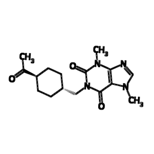 CC(=O)[C@H]1CC[C@H](Cn2c(=O)c3c(ncn3C)n(C)c2=O)CC1